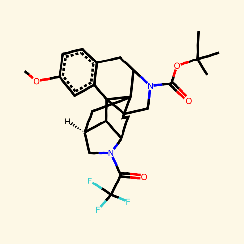 COc1ccc2c(c1)C13CCN(C(=O)OC(C)(C)C)C(C2)C12CCC1C3[C@@H](CN1C(=O)C(F)(F)F)C2